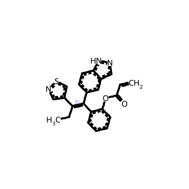 C=CC(=O)Oc1ccccc1/C(=C(\CC)c1cnsc1)c1ccc2[nH]ncc2c1